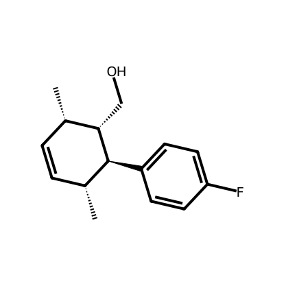 C[C@@H]1C=C[C@H](C)[C@H](CO)[C@H]1c1ccc(F)cc1